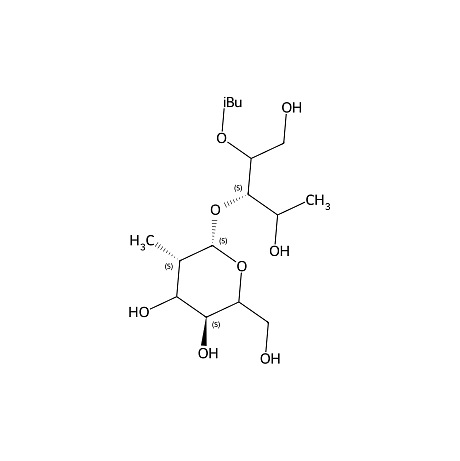 CCC(C)OC(CO)[C@@H](O[C@@H]1OC(CO)[C@@H](O)C(O)[C@@H]1C)C(C)O